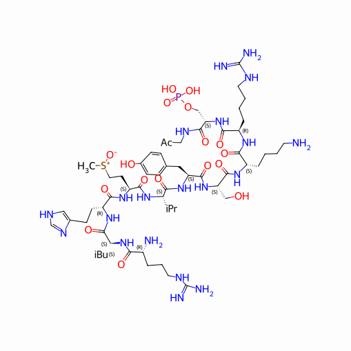 CC[C@H](C)[C@H](NC(=O)[C@H](N)CCCNC(=N)N)C(=O)N[C@H](CCc1c[nH]cn1)C(=O)N[C@@H](CC[S+](C)[O-])C(=O)N[C@H](C(=O)N[C@@H](Cc1ccc(O)cc1)C(=O)N[C@@H](CO)C(=O)N[C@@H](CCCCN)C(=O)N[C@H](CCCCNC(=N)N)C(=O)N[C@@H](COP(=O)(O)O)C(=O)NCC(C)=O)C(C)C